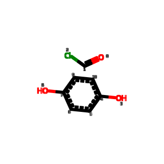 O=CCl.Oc1ccc(O)cc1